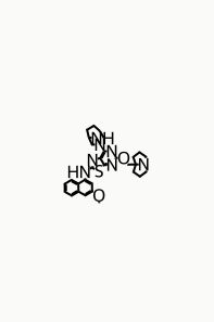 COc1cc(Nc2nc3c(N4CC5CCC(C4)N5)nc(OCC45CCCN4CCC5)nc3s2)c2ccccc2c1